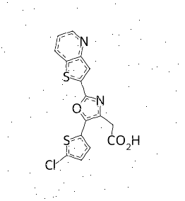 O=C(O)Cc1nc(-c2cc3ncccc3s2)oc1-c1ccc(Cl)s1